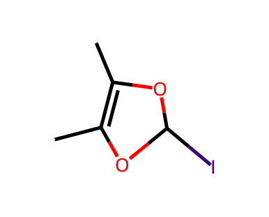 CC1=C(C)OC(I)O1